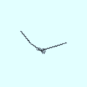 CCCCCCCCC=CCCCCCCCCOOCC(C[N+](C)(C)C)OOCCCCCCCCC=CCCCCCCCC